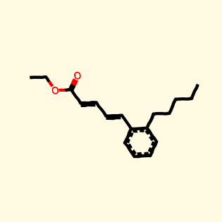 CCCCCc1ccccc1C=CC=CC(=O)OCC